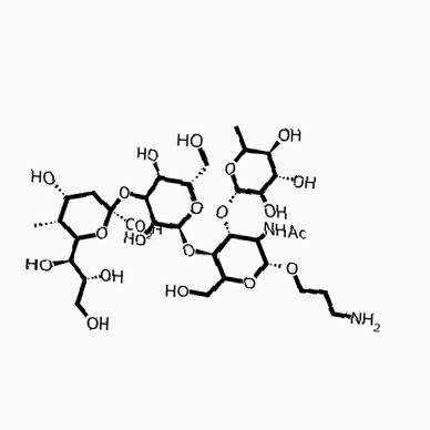 CC(=O)NC1[C@H](OCCCN)OC(CO)[C@@H](O[C@@H]2O[C@@H](CO)[C@H](O)C(O[C@]3(C(=O)O)C[C@@H](O)[C@@H](C)C([C@H](O)[C@H](O)CO)O3)C2O)[C@@H]1O[C@@H]1OC(C)[C@@H](O)[C@H](O)C1O